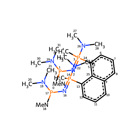 CNP(N=P(C)(c1cccc2cccc(P(C)(=NP(NC)N(C)C)N(C)C)c12)N(C)C)N(C)C